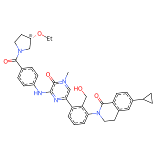 CCO[C@H]1CCN(C(=O)c2ccc(Nc3nc(-c4cccc(N5CCc6cc(C7CC7)ccc6C5=O)c4CO)cn(C)c3=O)cc2)C1